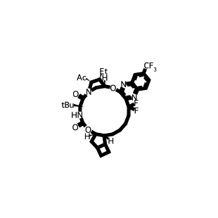 CC[C@@H]1[C@@H]2CN(C(=O)[C@H](C(C)(C)C)NC(=O)O[C@@H]3CC4CCC4[C@H]3CCCCC(F)(F)c3nc4ccc(C(F)(F)F)cc4nc3O2)[C@@H]1C(C)=O